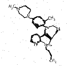 C=CCN1SC2=C(c3cccnc31)N(c1ccc(N3CCN(C)CC3)cc1C)CN=C2